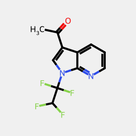 CC(=O)c1cn(C(F)(F)C(F)F)c2ncccc12